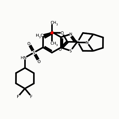 CC(C)(C)OC(=O)N1CC2CCC(C1)N2c1nc2ccc(S(=O)(=O)NC3CCC(F)(F)CC3)cc2s1